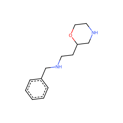 c1ccc(CNCCC2CNCCO2)cc1